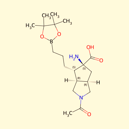 CC(=O)N1C[C@@H]2C[C@@](N)(C(=O)O)[C@@H](CCCB3OC(C)(C)C(C)(C)O3)[C@@H]2C1